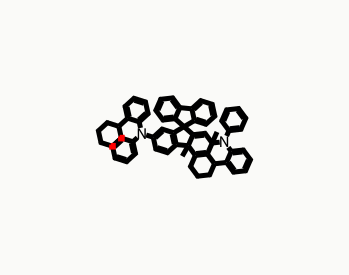 CC12C(=CC3(C)C4=C1CCCC4c1ccccc1N3c1ccccc1)C1(c3ccccc3-c3ccccc31)c1cc(N(c3ccccc3)c3ccccc3C3CCCCC3)ccc12